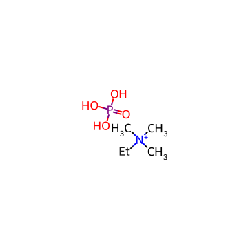 CC[N+](C)(C)C.O=P(O)(O)O